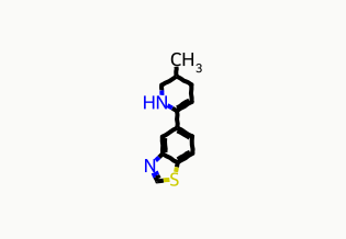 CC1CC=C(c2ccc3scnc3c2)NC1